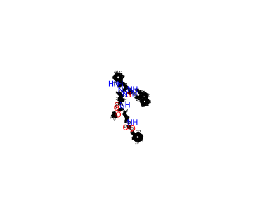 CC(C)(C)OC(=O)[C@@H](CCCCNC(=O)OCc1ccccc1)NC(=O)C(C)(C)c1c[nH]c(C(Cc2c[nH]c3ccccc23)NC(=O)N2CCC3(C=Cc4ccccc43)CC2)n1